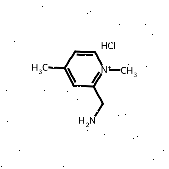 Cc1cc[n+](C)c(CN)c1.Cl